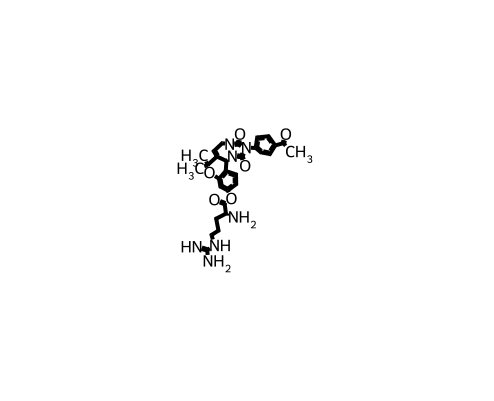 CC(=O)c1ccc(-n2c(=O)n3n(c2=O)C2C(=CC3)C(C)(C)Oc3cc(OC(=O)[C@@H](N)CCCNC(=N)N)ccc32)cc1